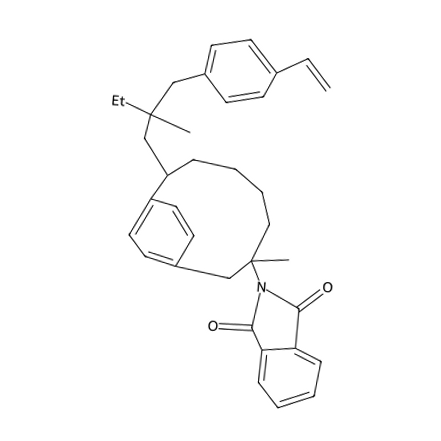 C=Cc1ccc(CC(C)(CC)CC2CCCCC(C)(N3C(=O)c4ccccc4C3=O)Cc3ccc2cc3)cc1